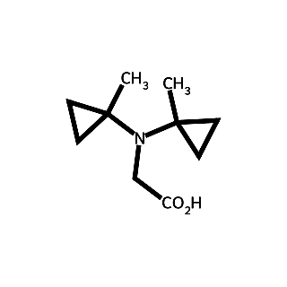 CC1(N(CC(=O)O)C2(C)CC2)CC1